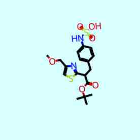 COCc1csc(C(Cc2ccc(NS(=O)(=O)O)cc2)C(=O)OC(C)(C)C)n1